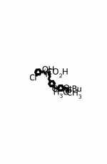 CC(C)(C)[Si](C)(C)Oc1ccc(Oc2ccc(CCN(C[C@@H](O)c3cccc(Cl)c3)C(=O)O)cc2)cc1